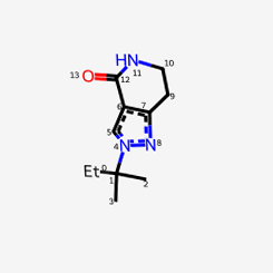 CCC(C)(C)n1cc2c(n1)CCNC2=O